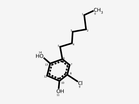 CCCCCCc1cc(Cl)c(O)cc1O